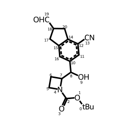 CC(C)(C)OC(=O)N1CCC1C(O)c1cc(C#N)c2c(c1)CC(C=O)C2